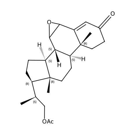 CC(=O)OC[C@@H](C)[C@H]1CC[C@H]2[C@@H]3C4OC4C4=CC(=O)CC[C@]4(C)[C@H]3CC[C@]12C